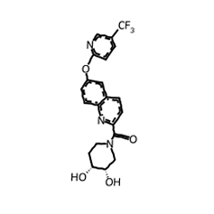 O=C(c1ccc2cc(Oc3ccc(C(F)(F)F)cn3)ccc2n1)N1CC[C@@H](O)[C@@H](O)C1